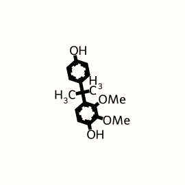 COc1c(O)ccc(C(C)(C)c2ccc(O)cc2)c1OC